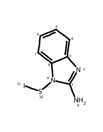 Nc1nc2ccccc2n1SI